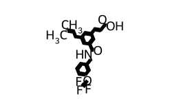 CC(C)=CCc1cc(/C=C/C(=O)O)cc(C(=O)NCc2cccc(OC(F)(F)F)c2)c1